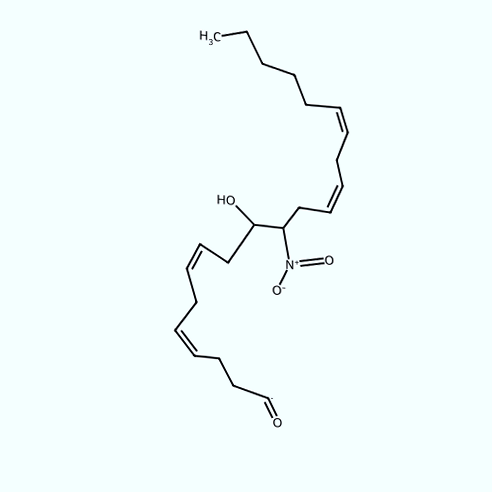 CCCCC/C=C\C/C=C\CC(C(O)C/C=C\C/C=C\CC[C]=O)[N+](=O)[O-]